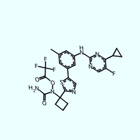 Cc1cc(Nc2ncc(F)c(C3CC3)n2)cc(-c2cnc(C3(N(OC(=O)C(F)(F)F)C(N)=O)CCC3)s2)c1